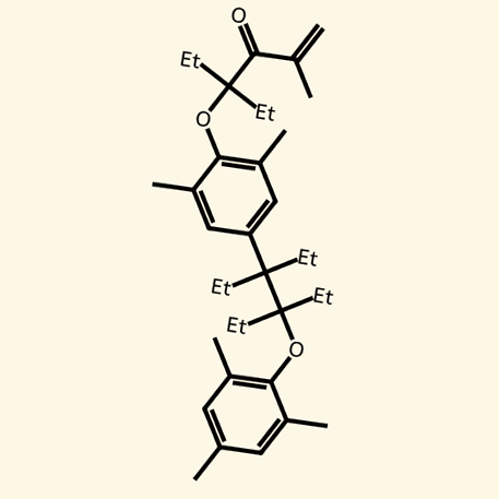 C=C(C)C(=O)C(CC)(CC)Oc1c(C)cc(C(CC)(CC)C(CC)(CC)Oc2c(C)cc(C)cc2C)cc1C